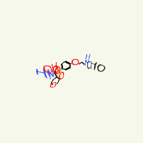 O=CNCCCOc1ccc(S(=O)(=O)C2(C(=O)NO)CCOCC2)cc1